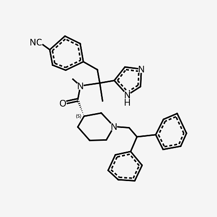 CN(C(=O)[C@H]1CCCN(CC(c2ccccc2)c2ccccc2)C1)C(C)(Cc1ccc(C#N)cc1)c1cnc[nH]1